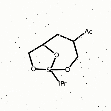 CC(=O)C1CO[Si]2(C(C)C)OCC(C1)O2